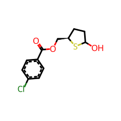 O=C(OC[C@H]1CCC(O)S1)c1ccc(Cl)cc1